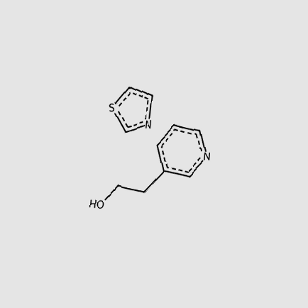 OCCc1cccnc1.c1cscn1